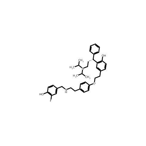 CC(C)N(CC[C@H](c1ccccc1)c1cc(CCOc2ccc(CCNCc3ccc(O)c(F)c3)cc2)ccc1O)C(C)C